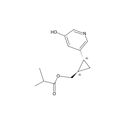 CC(C)C(=O)OC[C@@H]1C[C@H]1c1cncc(O)c1